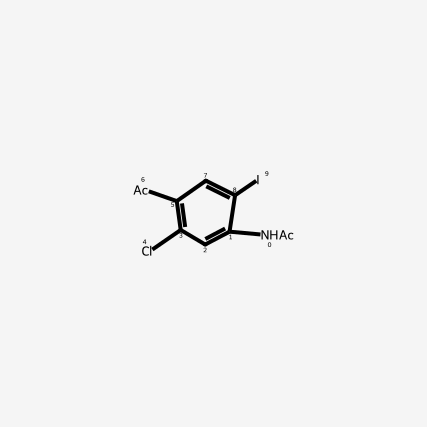 CC(=O)Nc1cc(Cl)c(C(C)=O)cc1I